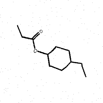 CCC(=O)OC1CCC(CC)CC1